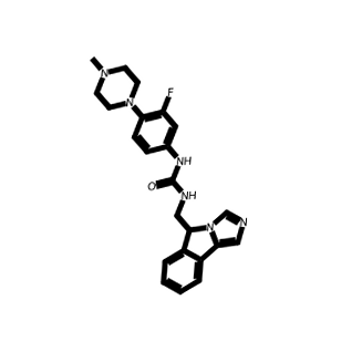 CN1CCN(c2ccc(NC(=O)NCC3c4ccccc4-c4cncn43)cc2F)CC1